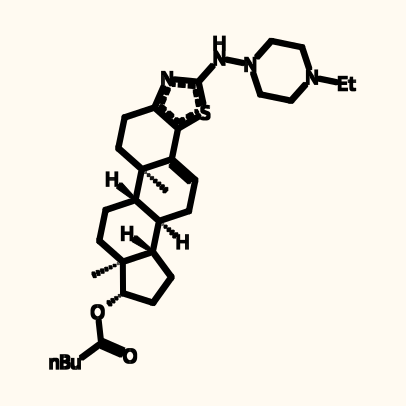 CCCCC(=O)O[C@H]1CC[C@H]2[C@@H]3CC=C4c5sc(NN6CCN(CC)CC6)nc5CC[C@]4(C)[C@H]3CC[C@]12C